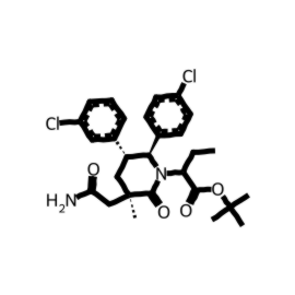 CCC(C(=O)OC(C)(C)C)N1C(=O)[C@@](C)(CC(N)=O)C[C@H](c2cccc(Cl)c2)[C@H]1c1ccc(Cl)cc1